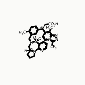 Cc1ccc([C@@H](CC(=O)O)c2ccn3c(C(F)(F)F)nnc3c2C)cc1CN1C[C@H]2CCCN2c2ncccc2S1(=O)=O